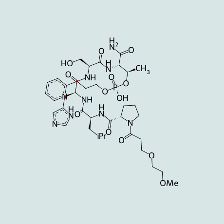 COCCOCCC(=O)N1CCC[C@H]1C(=O)N[C@@H](CC(C)C)C(=O)N[C@@H](Cc1cnc[nH]1)C(=O)N[C@@H](CO)C(=O)N[C@H](C(N)=O)[C@@H](C)OP(=O)(O)OCCCc1ccccn1